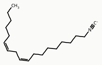 [C-]#[N+]CCCCCCCC/C=C\C/C=C\CCCCC